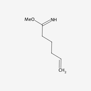 C=CCCCC(=N)OC